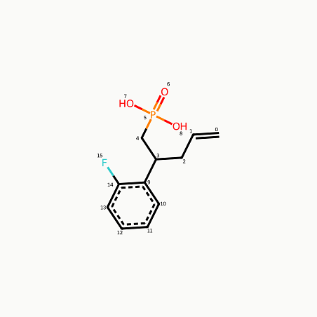 C=CCC(CP(=O)(O)O)c1ccccc1F